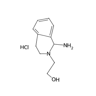 Cl.NC1c2ccccc2CCN1CCO